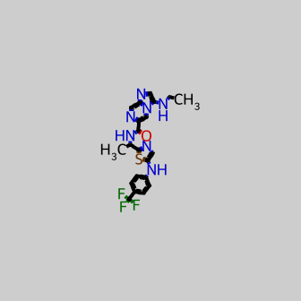 CCNc1cnc2cnc(C(=O)NC(C)c3ncc(Nc4ccc(C(F)(F)F)cc4)s3)cn12